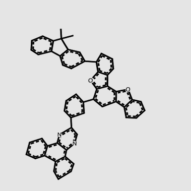 CC1(C)c2ccccc2-c2ccc(-c3cccc4c3oc3c(-c5cccc(-c6cnc7c8ccccc8c8ccccc8c7n6)c5)cc5c6ccccc6oc5c34)cc21